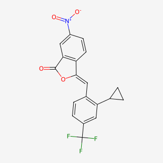 O=C1OC(=Cc2ccc(C(F)(F)F)cc2C2CC2)c2ccc([N+](=O)[O-])cc21